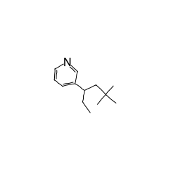 CCC(CC(C)(C)C)c1cccnc1